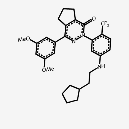 COc1cc(OC)cc(-c2nn(-c3cc(NCCC4CCCC4)ccc3C(F)(F)F)c(=O)c3c2CCC3)c1